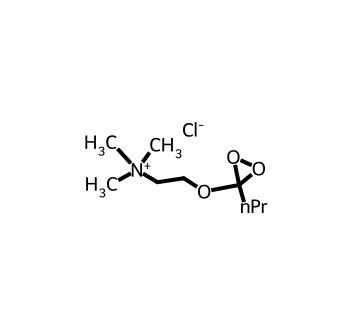 CCCC1(OCC[N+](C)(C)C)OO1.[Cl-]